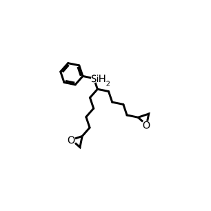 c1ccc([SiH2]C(CCCCC2CO2)CCCCC2CO2)cc1